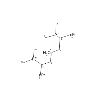 CCCC([CH2][GeH2][CH2]C(CCC)P(C)C)P(C)C